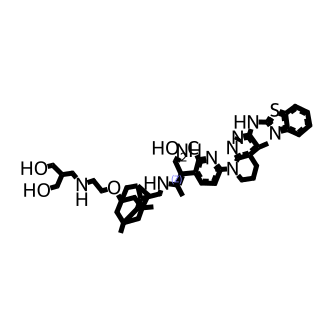 C/C(NCC1CC2(C)CC3(C)CC1CC(OCCNCC(CO)CO)(C2)C3)=C(/C=N)c1ccc(N2CCCc3c2nnc(Nc2nc4ccccc4s2)c3C)nc1C(=O)O